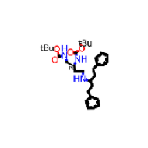 CC(C)(C)OC(=O)NC[C@H](CCNC(CCc1ccccc1)CCc1ccccc1)NC(=O)OC(C)(C)C